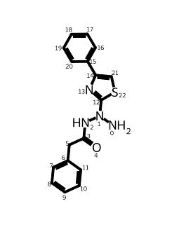 NN(NC(=O)Cc1ccccc1)c1nc(-c2ccccc2)cs1